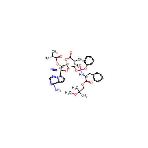 COC(C)(C)COC(=O)[C@H](Cc1ccccc1)NP(=O)(OC[C@H]1O[C@@](C#N)(c2ccc3c(N)ncnn23)[C@H](OC(=O)C(C)C)[C@@H]1OC(=O)C(C)C)Oc1ccccc1